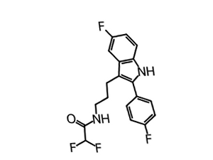 O=C(NCCCc1c(-c2ccc(F)cc2)[nH]c2ccc(F)cc12)C(F)F